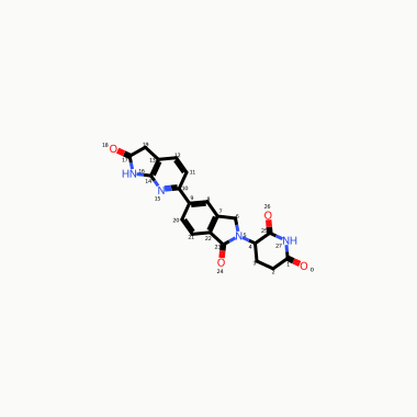 O=C1CCC(N2Cc3cc(-c4ccc5c(n4)NC(=O)C5)ccc3C2=O)C(=O)N1